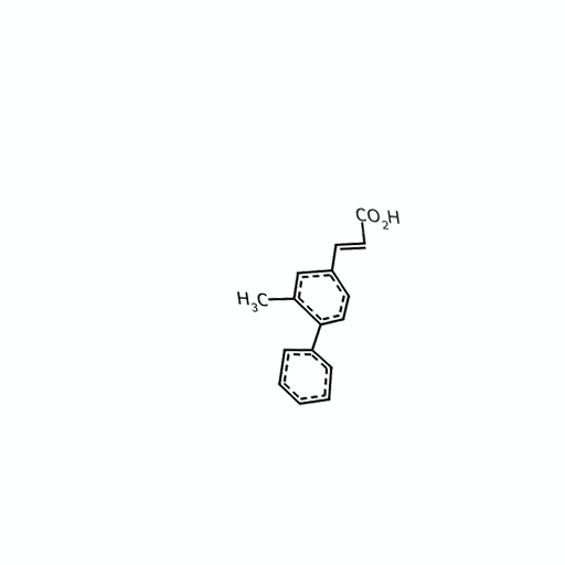 Cc1cc(C=CC(=O)O)ccc1-c1ccccc1